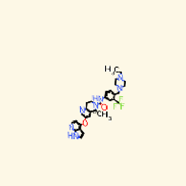 CCN1CCN(Cc2ccc(NC(=O)N3CCc4ncc(Oc5ccnc6[nH]ccc56)cc4[C@@H]3C)cc2C(F)(F)F)CC1